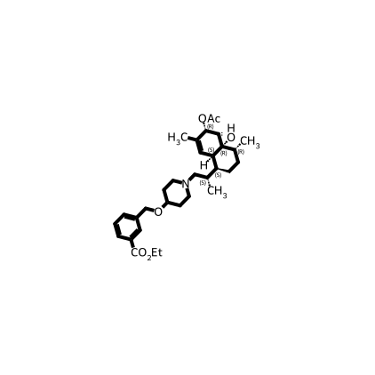 CCOC(=O)c1cccc(COC2CCN(C[C@@H](C)[C@@H]3CC[C@@H](C)[C@]4(O)[C][C@@H](OC(C)=O)C(C)=C[C@H]34)CC2)c1